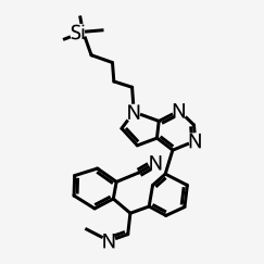 C/N=C\C(c1cccc(-c2ncnc3c2ccn3CCCC[Si](C)(C)C)c1)c1ccccc1C#N